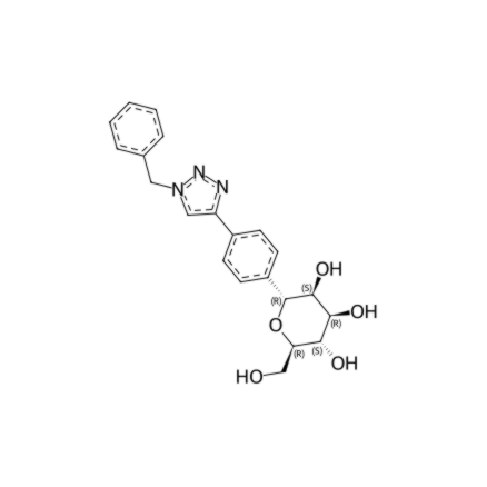 OC[C@H]1O[C@H](c2ccc(-c3cn(Cc4ccccc4)nn3)cc2)[C@@H](O)[C@@H](O)[C@@H]1O